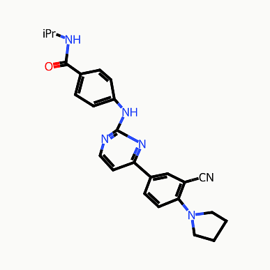 CC(C)NC(=O)c1ccc(Nc2nccc(-c3ccc(N4CCCC4)c(C#N)c3)n2)cc1